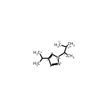 CC(C)c1cnn(C(C)C(C)C)c1